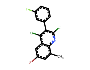 Cc1cc(Br)cc2c(Cl)c(-c3cccc(F)c3)c(Cl)nc12